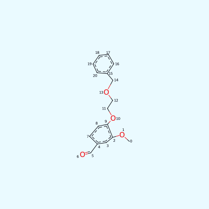 COc1cc(C=O)ccc1OCCOCc1ccccc1